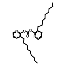 CCCCCCCCCc1cccnc1OC(=O)Oc1ncccc1CCCCCCCCC